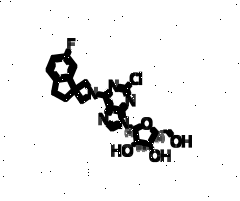 OC[C@H]1O[C@@H](n2cnc3c(N4CC5(CCc6ccc(F)cc65)C4)nc(Cl)nc32)[C@H](O)[C@@H]1O